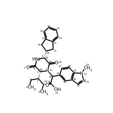 CCC(CC)[C@@H]1C(=O)N[C@H](C2Cc3ccccc3C2)C(=O)N1C(C(=O)O)c1ccc2c(cnn2C)c1